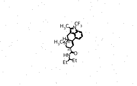 CCC(CC)NC(=O)[C@@H]1C=C2c3cccc4c3c(c(C)n4C(F)(F)F)C[C@H]2N(C)C1